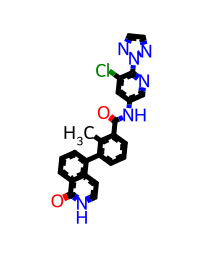 Cc1c(C(=O)Nc2cnc(-n3nccn3)c(Cl)c2)cccc1-c1cccc2c(=O)[nH]ccc12